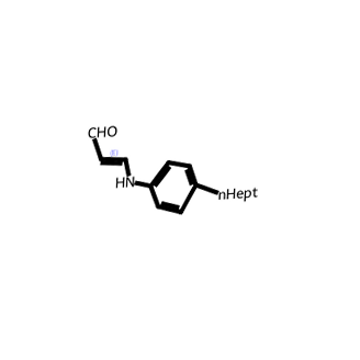 CCCCCCCc1ccc(N/C=C/C=O)cc1